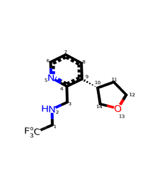 FC(F)(F)CNCc1ncccc1[C@@H]1CCOC1